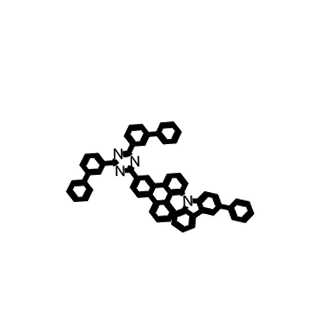 c1ccc(-c2cccc(-c3nc(-c4cccc(-c5ccccc5)c4)nc(-c4ccc5c6ccccc6c6c(-n7c8ccccc8c8cc(-c9ccccc9)ccc87)cccc6c5c4)n3)c2)cc1